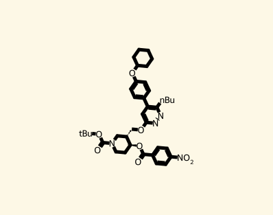 CCCCc1nnc(OC[C@H]2CN(C(=O)OC(C)(C)C)CC[C@@H]2OC(=O)c2ccc([N+](=O)[O-])cc2)cc1-c1ccc(OC2CCCCC2)cc1